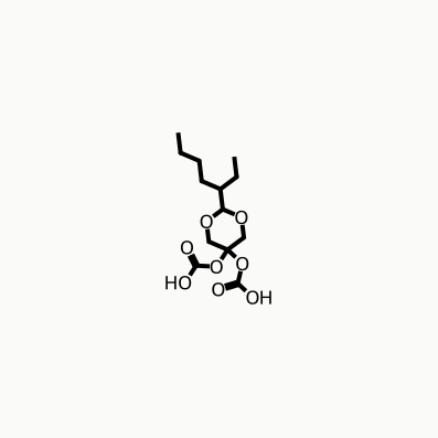 CCCCC(CC)C1OCC(OC(=O)O)(OC(=O)O)CO1